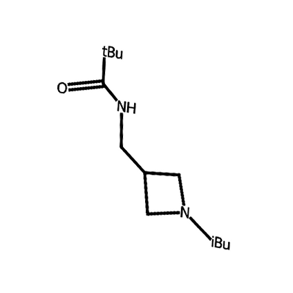 CCC(C)N1CC(CNC(=O)C(C)(C)C)C1